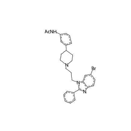 CC(=O)Nc1cccc(C2CCN(CCCn3c(-c4ccccc4)nc4ccc(Br)cc43)CC2)c1